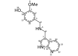 COc1cc(CNCc2c[nH]c3ncccc23)ccc1O